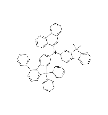 CC1(C)c2ccccc2-c2ccc(N(c3ccc4c(c3)C(c3ccccc3)(c3ccccc3)c3cccc(-c5ccccc5)c3-4)c3cc4ccccc4c4ccccc34)cc21